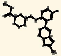 Cc1cc(-c2ccn3nc(N)cc3c2)c(OC[C@@H]2CN(C(=O)OC(C)(C)C)CCO2)cn1